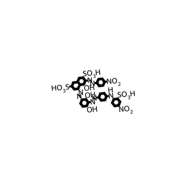 O=[N+]([O-])c1ccc(N=Nc2c(S(=O)(=O)O)cc3cc(S(=O)(=O)O)cc(N=Nc4ccc(O)c(N=Nc5ccc(Nc6ccc([N+](=O)[O-])cc6S(=O)(=O)O)cc5)c4O)c3c2O)cc1